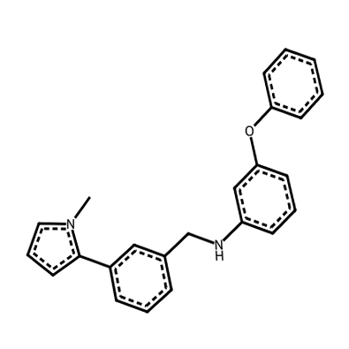 Cn1cccc1-c1cccc(CNc2cccc(Oc3ccccc3)c2)c1